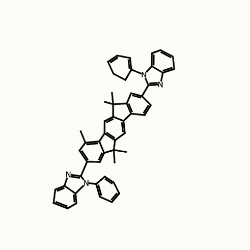 Cc1cc(-c2nc3ccccc3n2-c2ccccc2)cc2c1-c1cc3c(cc1C2(C)C)-c1ccc(-c2nc4ccccc4n2C2=CC=CCC2)cc1C3(C)C